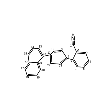 N#Cc1ccccc1-c1ccc(-c2cccc3ccccc23)cc1